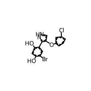 Oc1cc(O)c(-c2n[nH]cc2Oc2cccc(Cl)c2)cc1Br